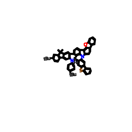 CC(C)(C)c1ccc(Nc2cc3c(cc2-c2ccc4c5c6oc7ccccc7c6ccc5n5c4c2Bc2cc4sc6ccccc6c4cc2-5)C(C)(C)c2cc(C(C)(C)C)ccc2-3)cc1